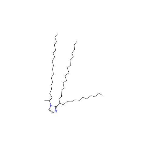 CCCCCCCCCCCCCCCCCC(C)n1ccnc1C(CCCCCCCCCCC)CCCCCCCCCCCCCCCC